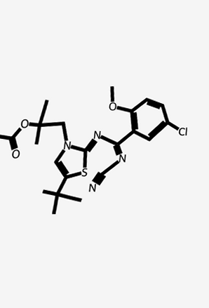 COc1ccc(Cl)cc1C(=N/C#N)/N=c1\sc(C(C)(C)C)cn1CC(C)(C)OC(C)=O